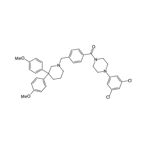 COc1ccc(C2(c3ccc(OC)cc3)CCCN(Cc3ccc(C(=O)N4CCN(c5cc(Cl)cc(Cl)c5)CC4)cc3)C2)cc1